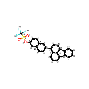 O=S(=O)(Oc1ccc2cc(-c3ccc4c5c(cccc35)-c3ccccc3-4)ccc2c1)C(F)(F)F